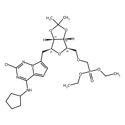 CCOP(=O)(COC[C@H]1O[C@@H](Cc2ccc3c(NC4CCCC4)nc(Cl)nn23)[C@@H]2OC(C)(C)O[C@@H]21)OCC